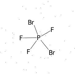 FP(F)(F)(Br)Br